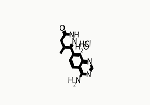 CC1CC(=O)NN=C1c1ccc2c(N)ncnc2c1.Cl.O